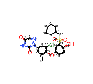 Cc1cc(-n2ncc(=O)[nH]c2=O)cc(Cl)c1Oc1ccc(O)c(S(=O)(=O)CC2CCCCC2)c1